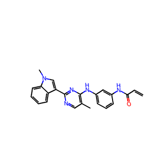 C=CC(=O)Nc1cccc(Nc2nc(-c3cn(C)c4ccccc34)ncc2C)c1